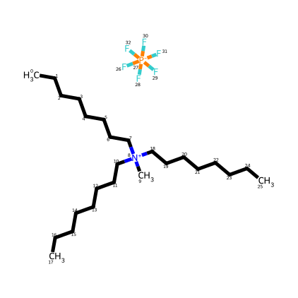 CCCCCCCC[N+](C)(CCCCCCCC)CCCCCCCC.F[P-](F)(F)(F)(F)F